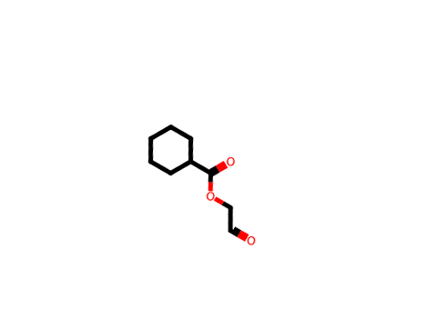 O=CCOC(=O)C1CCCCC1